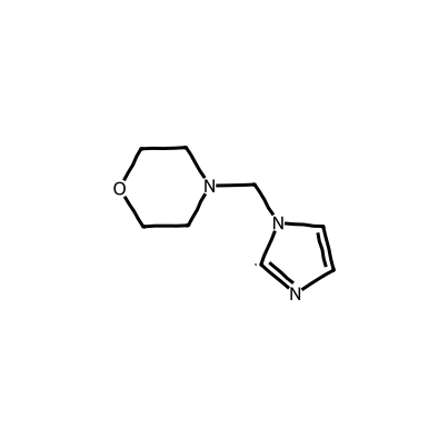 [c]1nccn1CN1CCOCC1